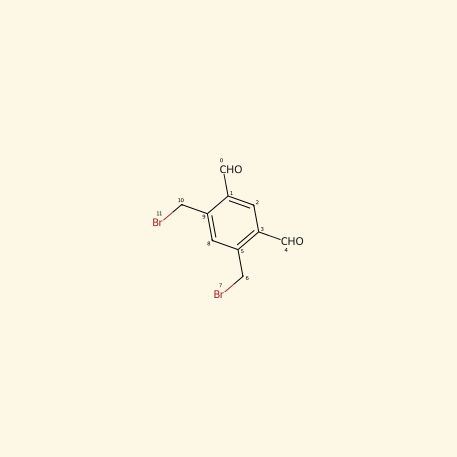 O=Cc1cc(C=O)c(CBr)cc1CBr